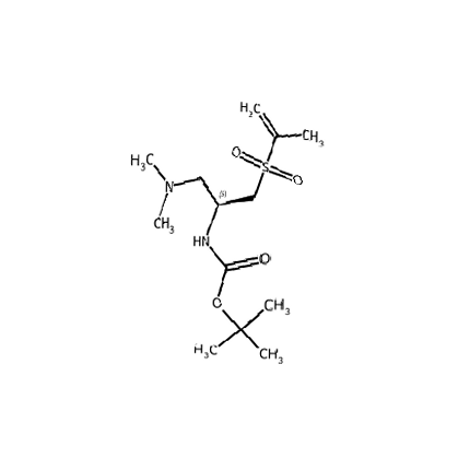 C=C(C)S(=O)(=O)C[C@H](CN(C)C)NC(=O)OC(C)(C)C